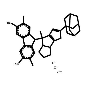 Cc1cc2c(cc1C(C)(C)C)-c1cc(C(C)(C)C)c(C)cc1C2C1(C)C2=C(CC(C34CC5CC(CC(C5)C3)C4)=C2)C2CCCC21.[Cl-].[Cl-].[Zr+2]